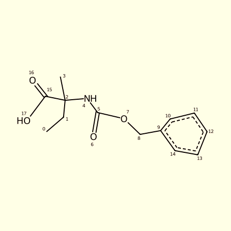 CCC(C)(NC(=O)OCc1ccccc1)C(=O)O